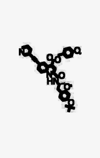 COC[C@H](Cc1ccc(OC(C)(C)C)cc1)NC(=O)c1cc(C(=O)OCc2ccc(OC)cc2)c2cc(C#Cc3cccnc3)ccc2n1